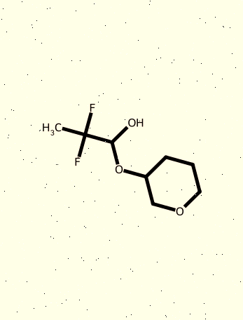 CC(F)(F)C(O)OC1CCCOC1